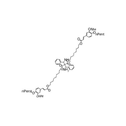 CCCCCOc1ccc(C=CC(=O)OCCCCCCCCOC(=O)C(C(=O)OCCCCCCCCOC(=O)C=Cc2ccc(OCCCCC)c(OC)c2)(C(N)c2ccccc2)C(N)c2ccccc2)cc1OC